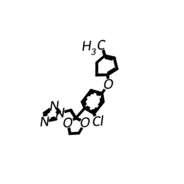 CC1=CC=C(Oc2ccc(C3(Cn4cncn4)OCCO3)c(Cl)c2)CC1